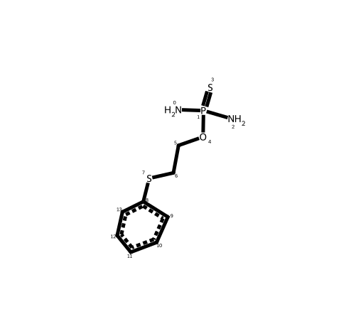 NP(N)(=S)OCCSc1ccccc1